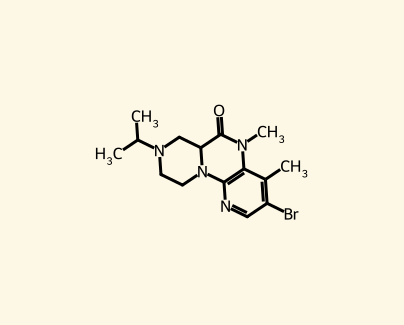 Cc1c(Br)cnc2c1N(C)C(=O)C1CN(C(C)C)CCN21